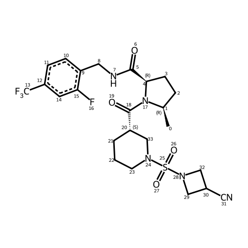 C[C@@H]1CC[C@H](C(=O)NCc2ccc(C(F)(F)F)cc2F)N1C(=O)[C@H]1CCCN(S(=O)(=O)N2CC(C#N)C2)C1